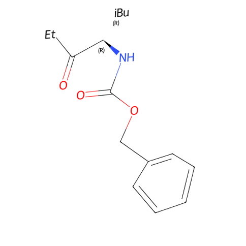 CCC(=O)[C@H](NC(=O)OCc1ccccc1)[C@H](C)CC